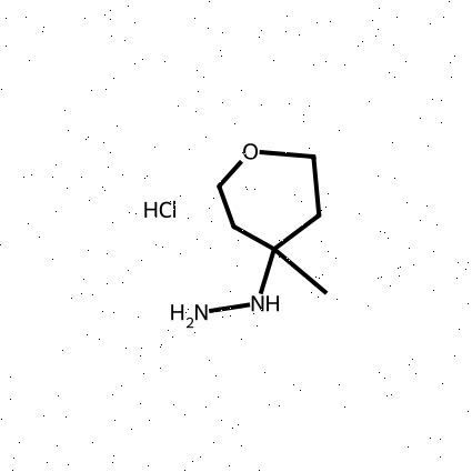 CC1(NN)CCOCC1.Cl